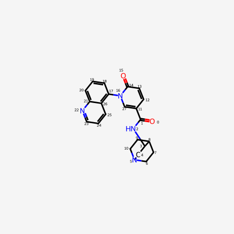 O=C(NC1CN2CCC1CC2)c1ccc(=O)n(-c2cccc3ncccc23)c1